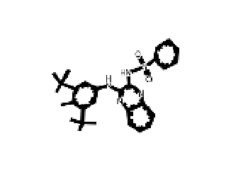 Cc1c(C(C)(C)C)cc(Nc2nc3ccccc3nc2NS(=O)(=O)c2ccccc2)cc1C(C)(C)C